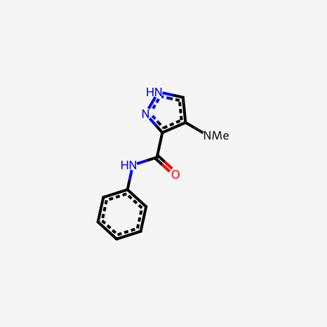 CNc1c[nH]nc1C(=O)Nc1ccccc1